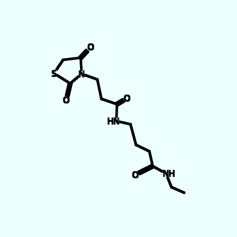 CCNC(=O)CCCNC(=O)CCN1C(=O)CSC1=O